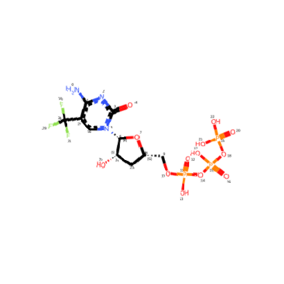 Nc1nc(=O)n([C@@H]2O[C@H](COP(=O)(O)OP(=O)(O)OP(=O)(O)O)C[C@@H]2O)cc1C(F)(F)F